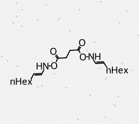 CCCCCC/C=C/NOC(=O)CCC(=O)ON/C=C/CCCCCC